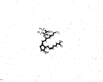 CCCCCC(CCC1CC[C@@H](O)C1C/C=C\CCCC(=O)O)O[Si](C)(C)C(C)C